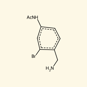 CC(=O)Nc1ccc(CN)c(Br)c1